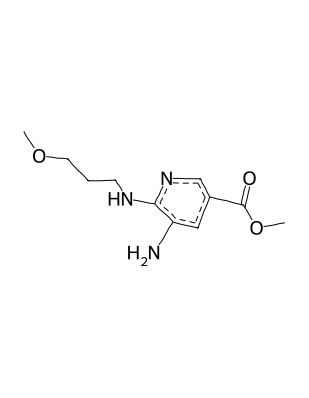 COCCCNc1ncc(C(=O)OC)cc1N